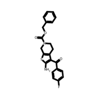 Nc1sc2c(c1C(=O)c1ccc(F)cc1)CCN(C(=O)OCc1ccccc1)C2